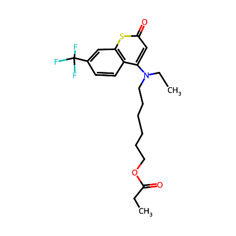 CCC(=O)OCCCCCCN(CC)c1cc(=O)sc2cc(C(F)(F)F)ccc12